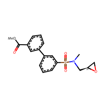 COC(=O)c1cccc(-c2cccc(S(=O)(=O)N(C)C[C@H]3CO3)c2)c1